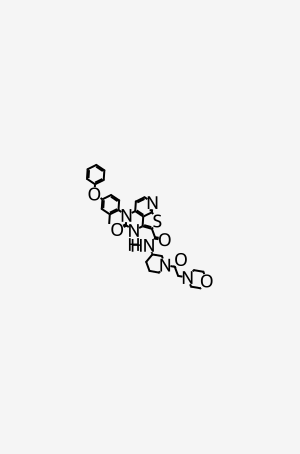 Cc1cc(Oc2ccccc2)ccc1N1C(=O)Nc2c(C(=O)N[C@@H]3CCCN(C(=O)CN4CCOCC4)C3)sc3nccc1c23